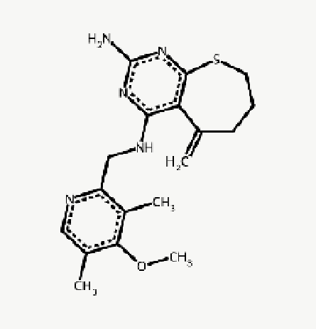 C=C1CCCSc2nc(N)nc(NCc3ncc(C)c(OC)c3C)c21